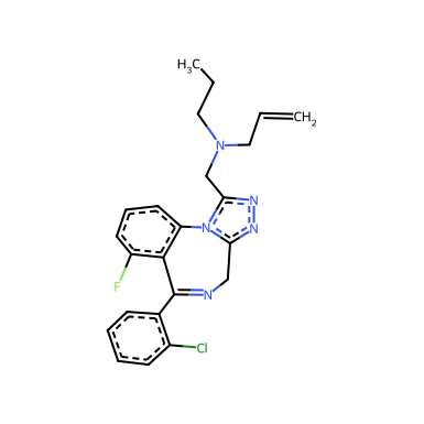 C=CCN(CCC)Cc1nnc2n1-c1cccc(F)c1C(c1ccccc1Cl)=NC2